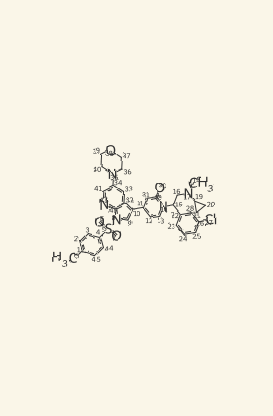 Cc1ccc(S(=O)(=O)n2cc(-c3ccn(C(CN(C)C4CC4)c4cccc(Cl)c4)c(=O)c3)c3cc(N4CCOCC4)cnc32)cc1